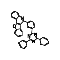 c1ccc(-c2nc(-c3ccccc3)nc(-c3cccc(-c4nc5ccccc5c5oc6ccccc6c45)c3)n2)cc1